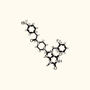 Cn1c(=O)[nH]c(=O)c2c1nc(N1CCN(C(=O)Cc3ccc(C(C)(C)C)cc3)CC1)n2Cc1ccccc1F